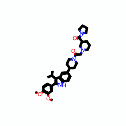 COc1ccc(-c2[nH]c3ccc(C4CCN(C(=O)CN5CCCC(C(=O)N6CCCC6)C5)CC4)cc3c2C(C)C)cc1OC